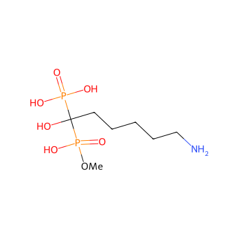 COP(=O)(O)C(O)(CCCCCN)P(=O)(O)O